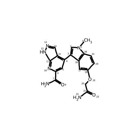 Cn1cc(-c2cc(C(N)=O)nc3[nH]ncc23)c2cc(OCC(N)=O)ccc21